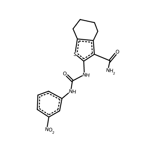 NC(=O)c1c(NC(=O)Nc2cccc([N+](=O)[O-])c2)sc2c1CCCC2